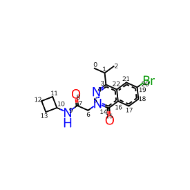 CC(C)c1nn(CC(=O)NC2CCC2)c(=O)c2ccc(Br)cc12